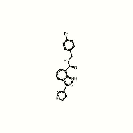 CCc1ccc(CNC(=O)c2cccc3c(-c4ccns4)n[nH]c23)cc1